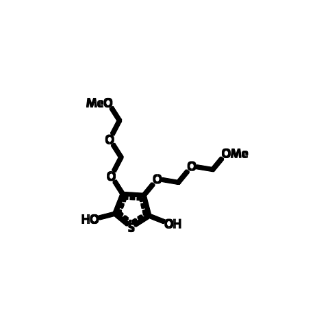 COCOCOc1c(O)sc(O)c1OCOCOC